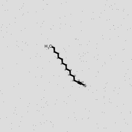 CCCCCCCCCCCCCC#C[S]